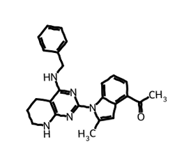 CC(=O)c1cccc2c1cc(C)n2-c1nc2c(c(NCc3ccccc3)n1)CCCN2